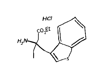 CCOC(=O)C(C)(N)c1csc2ccccc12.Cl